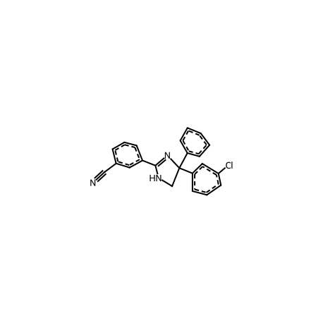 N#Cc1cccc(C2=NC(c3ccccc3)(c3cccc(Cl)c3)CN2)c1